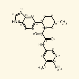 Cc1cc(NC(=O)C(=O)N2C[C@@H](C)CCC2c2ccc3[nH]cnc3c2)cnc1N